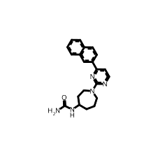 NC(=O)NC1CCCN(c2nccc(-c3ccc4ccccc4c3)n2)CC1